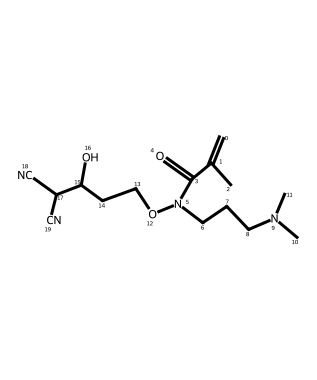 C=C(C)C(=O)N(CCCN(C)C)OCCC(O)C(C#N)C#N